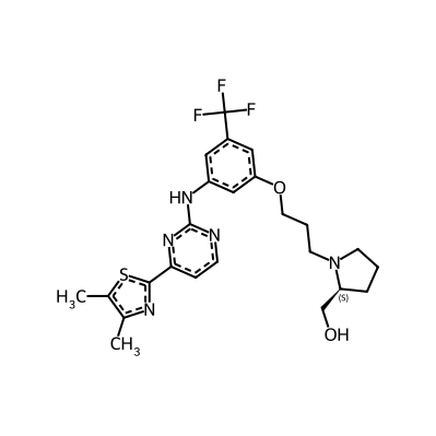 Cc1nc(-c2ccnc(Nc3cc(OCCCN4CCC[C@H]4CO)cc(C(F)(F)F)c3)n2)sc1C